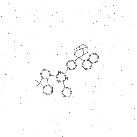 CC1(C)c2ccccc2-c2c(-c3nc(-c4ccccc4)nc(-c4ccc5c(c4)-c4ccc6ccccc6c4C54C5CC6CC(C5)CC4C6)n3)cccc21